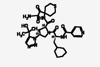 CC(C)(O)c1cnnn1[C@H]1C[C@@H](C(=O)NC2(C(=O)C(N)=O)CCSCC2)N(C(=O)[C@@H](CC2CCCCC2)NC(=O)c2ccncc2)C1